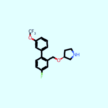 Fc1ccc(-c2cccc(OC(F)(F)F)c2)c(CO[C@H]2CCNC2)c1